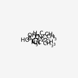 CC(C)S(C(C)C)(C(C)C)n1ccc2c(B(O)O)ccnc21